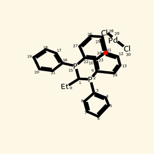 CCC(P(c1ccccc1)c1ccccc1)P(c1ccccc1)c1ccccc1.[Cl][Pd][Cl]